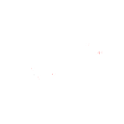 C=CC(=O)OCOc1ccc2cc(C(=O)O)ccc2c1